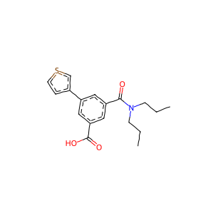 CCCN(CCC)C(=O)c1cc(C(=O)O)cc(-c2ccsc2)c1